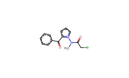 CN(C(=O)CBr)n1cccc1C(=O)c1ccccc1